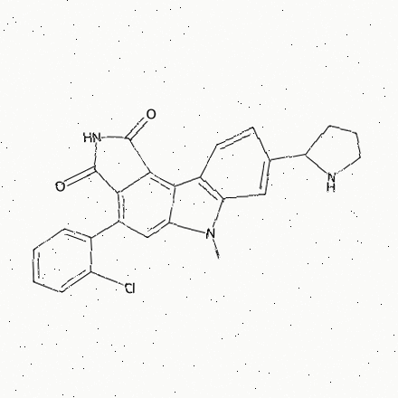 Cn1c2cc(C3CCCN3)ccc2c2c3c(c(-c4ccccc4Cl)cc21)C(=O)NC3=O